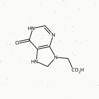 O=C(O)CN1CNc2c1nc[nH]c2=O